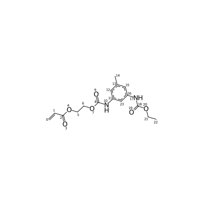 C=CC(=O)OCCOC(=O)Nc1cc(C)cc(NC(=O)OCC)c1